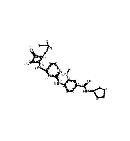 COc1cc(C(=O)NC2CCCC2)ccc1Nc1nccc(Nc2c(CC(C)(C)C)c(=O)c2=O)n1